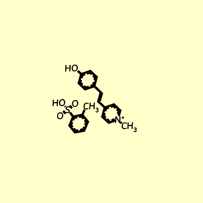 C[n+]1ccc(C=Cc2ccc(O)cc2)cc1.Cc1ccccc1S(=O)(=O)O